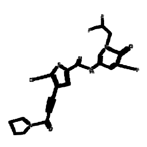 O=C(Nc1cc(F)c(=O)n(CC(F)F)c1)c1cc(C#CC(=O)N2CCCC2)c(Cl)s1